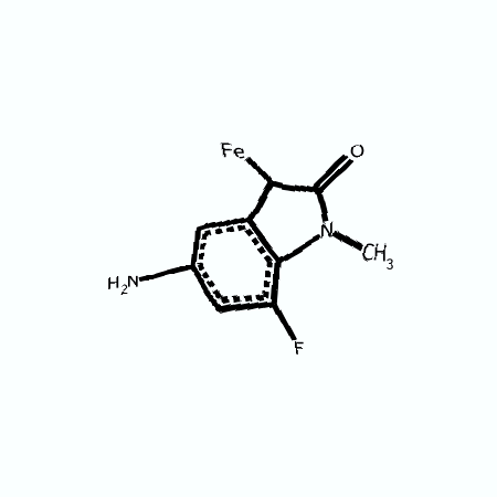 CN1C(=O)[CH]([Fe])c2cc(N)cc(F)c21